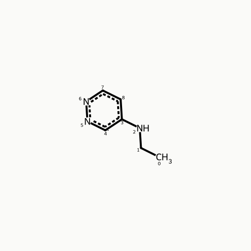 CCNc1[c]nncc1